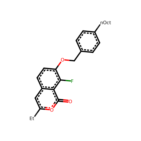 CCCCCCCCc1ccc(COc2ccc3cc(CC)oc(=O)c3c2F)cc1